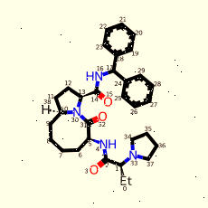 CC[C@@H](C(=O)N[C@H]1CCCC[C@H]2CC[C@@H](C(=O)NC(c3ccccc3)c3ccccc3)N2C1=O)N1CCCC1